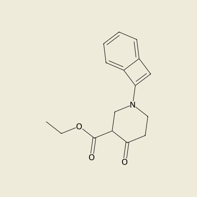 CCOC(=O)C1CN(C2=Cc3ccccc32)CCC1=O